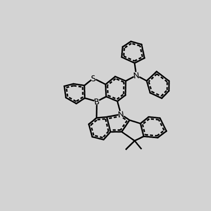 CC1(C)c2ccccc2-c2c1c1cccc3c1n2-c1cc(N(c2ccccc2)c2ccccc2)cc2c1B3c1ccccc1S2